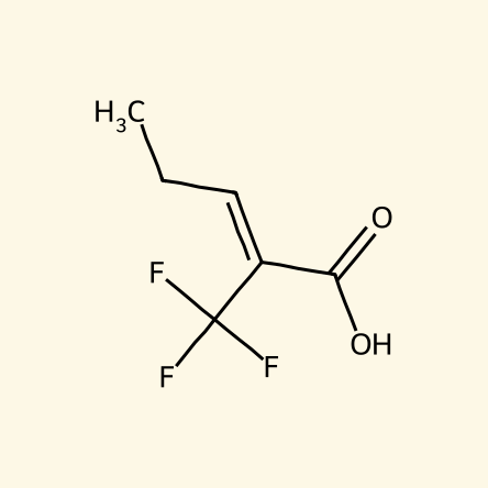 CC/C=C(/C(=O)O)C(F)(F)F